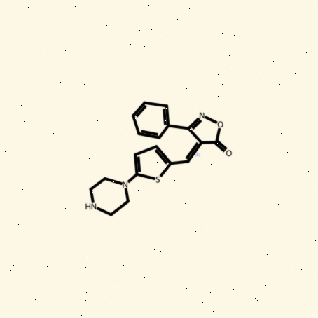 O=C1ON=C(c2ccccc2)/C1=C\c1ccc(N2CCNCC2)s1